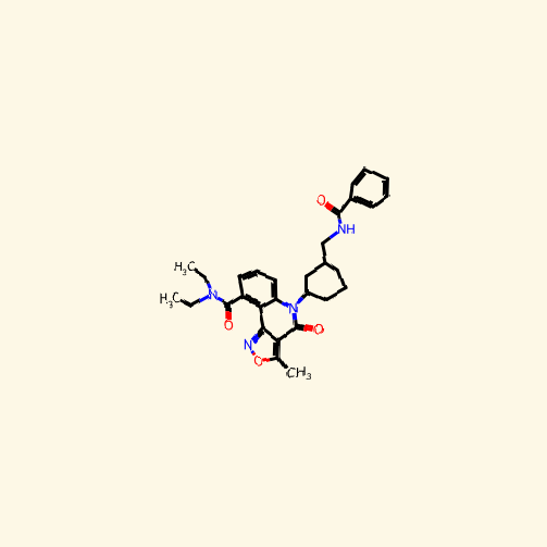 CCN(CC)C(=O)c1cccc2c1c1noc(C)c1c(=O)n2C1CCCC(CNC(=O)c2ccccc2)C1